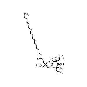 CCCCCCCCCCCCCCCCCC(=O)OCC1(CC)COC2(CC(C)(CC)N(O)C(C)(CC)C2C)OC1